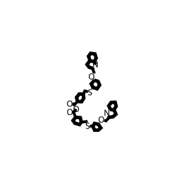 O=C(OC(=O)c1cccc(CSc2cccc(OCc3ccc4ccccc4n3)c2)c1)c1ccc(CSc2cccc(OCc3ccc4ccccc4n3)c2)cc1